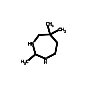 CC1NCCC(C)(C)CN1